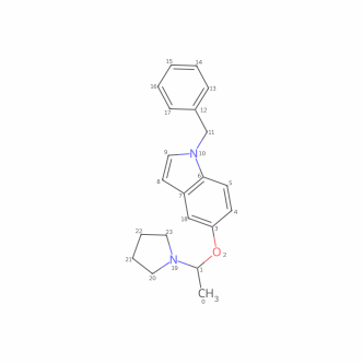 CC(Oc1ccc2c(ccn2Cc2ccccc2)c1)N1CCCC1